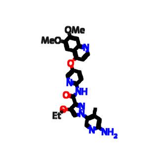 CCOc1cn(-c2cnc(N)cc2C)nc1C(=O)Nc1ccc(Oc2ccnc3cc(OC)c(OC)cc23)cn1